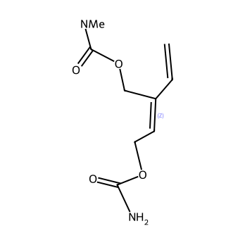 C=C/C(=C/COC(N)=O)COC(=O)NC